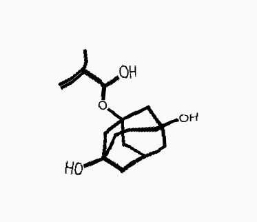 C=C(C)C(O)OC12CC3CC(O)(CC(O)(C3)C1)C2